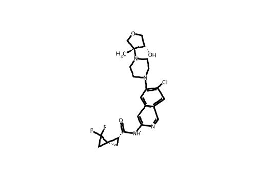 C[C@@]1(N2CCN(c3cc4cc(NC(=O)[C@@H]5C[C@@]56CC6(F)F)ncc4cc3Cl)CC2)COC[C@@H]1O